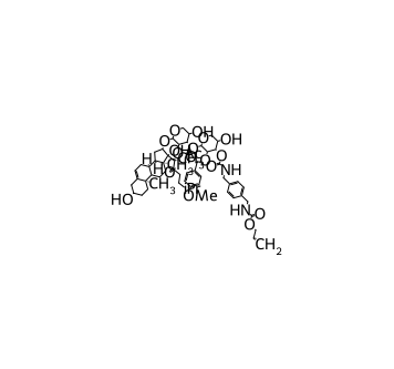 C=CCOC(=O)NCc1ccc(CNC(=O)OC2C(O)COC(OC3C(O)COC(O[C@H]4C[C@H]5[C@@H]6CC=C7C[C@@H](O)CC[C@]7(C)C6CC[C@]5(C)[C@@]4(O)[C@H](C)C(=O)CCC(C)C)C3OC(C)=O)C2OC(=O)c2ccc(OC)cc2)cc1